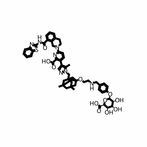 Cc1c(-c2ccc(N3CCc4cccc(C(=O)Nc5nc6ccccc6s5)c4C3)nc2C(=O)O)cnn1CC12CC3(C)CC(C)(C1)CC(OCCNCc1ccc(O[C@@H]4O[C@H](C(=O)O)[C@@H](O)[C@H](O)[C@H]4O)cc1)(C3)C2